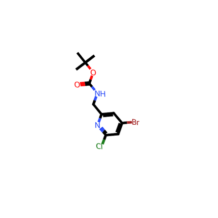 CC(C)(C)OC(=O)NCc1cc(Br)cc(Cl)n1